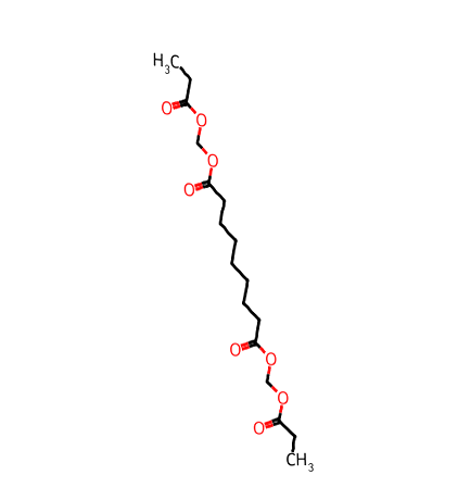 CCC(=O)OCOC(=O)CCCCCCCC(=O)OCOC(=O)CC